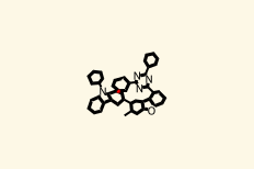 Cc1cc2oc3cccc(-c4nc(-c5ccccc5)nc(-c5ccccc5)n4)c3c2cc1-c1ccc2c(c1)c1ccccc1n2-c1ccccc1